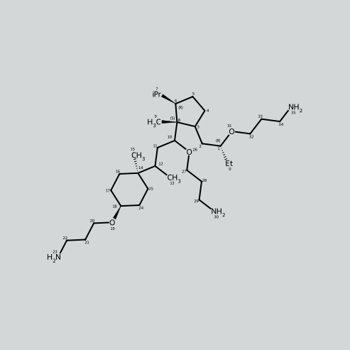 CC[C@H](CC1CC[C@H](C(C)C)[C@@]1(C)C(CC(C)[C@]1(C)CC[C@H](OCCCN)CC1)OCCCN)OCCCN